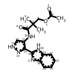 CC(=O)OCC(C)(C)C(=O)Nc1c[nH]nc1-c1nc2ccccc2[nH]1